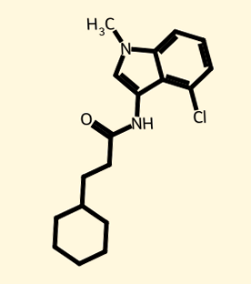 Cn1cc(NC(=O)CCC2CCCCC2)c2c(Cl)cccc21